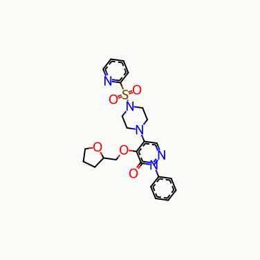 O=c1c(OCC2CCCO2)c(N2CCN(S(=O)(=O)c3ccccn3)CC2)cnn1-c1ccccc1